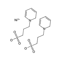 O=S(=O)([O-])CCCN1C=CC=CC1.O=S(=O)([O-])CCCN1C=CC=CC1.[Ni+2]